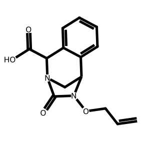 C=CCON1C(=O)N2CC1c1ccccc1C2C(=O)O